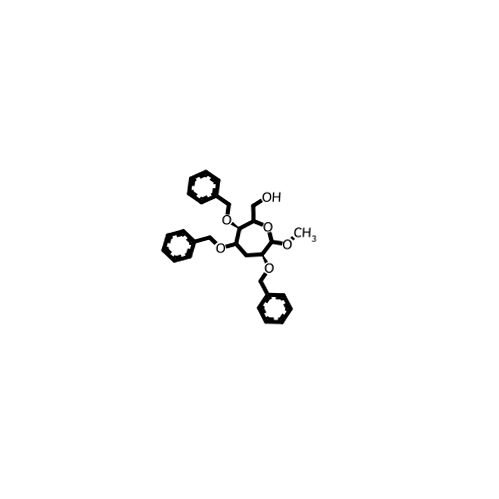 COC1OC(CO)[C@H](OCc2ccccc2)C(OCc2ccccc2)C[C@@H]1OCc1ccccc1